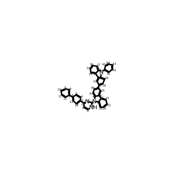 C1=CC(c2ccc(-c3ccccc3)cc2)=NC(n2c3ccccc3c3cc(-c4ccc5c(c4)c4ccccc4n5-c4ccccc4)ccc32)N1